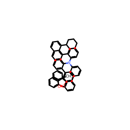 CC12C=CC=CC1Oc1cccc(-c3cccc(N(c4ccccc4-c4cccc5cccc(C6CCCCC6)c45)c4ccccc4-c4cccc5oc6ccccc6c45)c3)c12